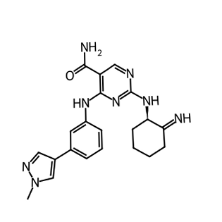 Cn1cc(-c2cccc(Nc3nc(N[C@@H]4CCCCC4=N)ncc3C(N)=O)c2)cn1